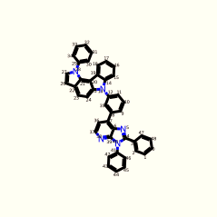 c1ccc(-c2nc3c(-c4cccc(-n5c6ccccc6c6c7c(ccc65)ccn7-c5ccccc5)c4)ccnc3n2-c2ccccc2)cc1